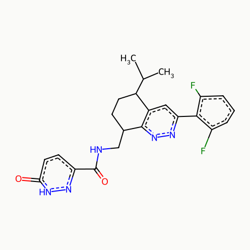 CC(C)C1CCC(CNC(=O)c2ccc(=O)[nH]n2)c2nnc(-c3c(F)cccc3F)cc21